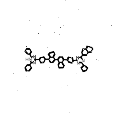 c1ccc(C2=NC(c3ccc(-c4ccc(-c5ccc(-c6ccc(-c7nc(-c8ccccc8)nc(-c8ccc9ccccc9c8)n7)cc6)c6ccccc56)c5ccccc45)cc3)=NC(c3ccccc3)N2)cc1